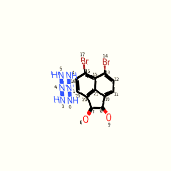 N=[N+]=N.N=[N+]=N.O=C1C(=O)c2ccc(Br)c3c(Br)ccc1c23